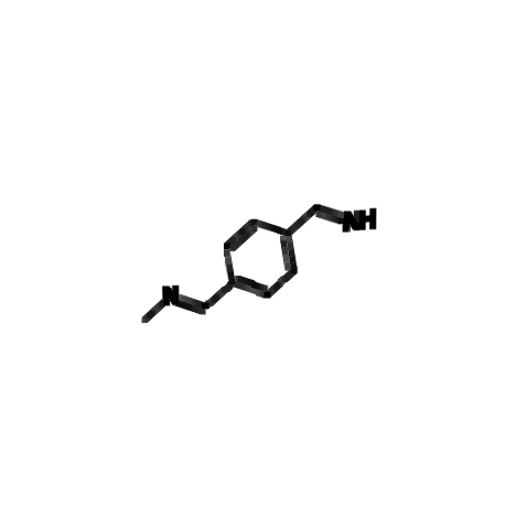 C/N=C/c1ccc(C=N)cc1